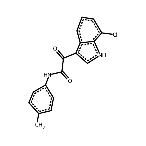 Cc1ccc(NC(=O)C(=O)c2c[nH]c3c(Cl)cccc23)cc1